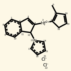 CC1=[C]([Hf+2][C]2=Cc3ccccc3C2n2cccc2)CC=C1.[Cl-].[Cl-]